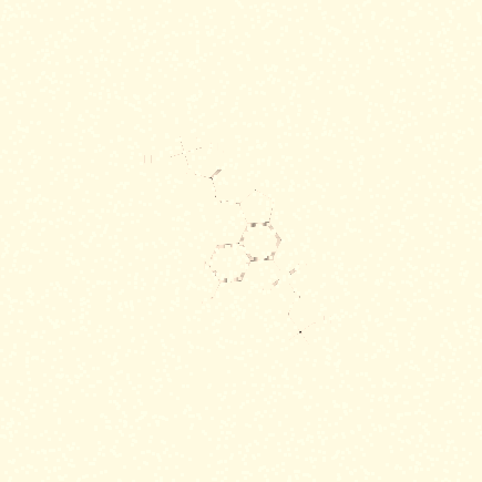 CC(C)(F)CNS(=O)(=O)c1cc2c(c3cnc(Cl)cc13)C(NC(=O)OC(C)(C)C)CC2